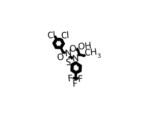 CCC(C(=O)O)n1c(=NC(=O)c2ccc(Cl)c(Cl)c2)sc2cc(C(F)(F)F)ccc21